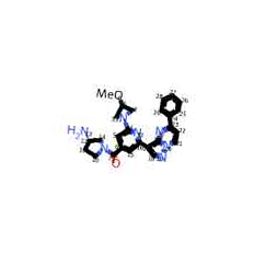 COC1CN(c2cc(C(=O)N3CC[C@H](N)C3)cc(-c3cnn4ccc(-c5ccccc5)nc34)n2)C1